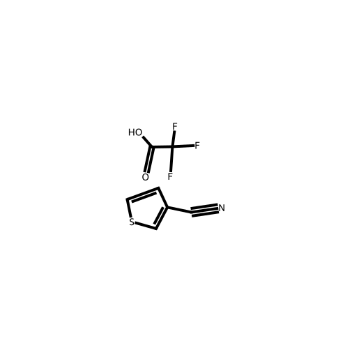 N#Cc1ccsc1.O=C(O)C(F)(F)F